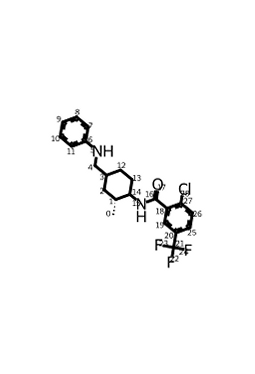 C[C@@H]1CC(CNc2ccccc2)CCC1NC(=O)c1cc(C(F)(F)F)ccc1Cl